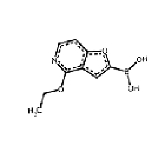 CCOc1nccc2oc(B(O)O)cc12